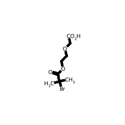 CC(C)(Br)C(=O)OCCOCC(=O)O